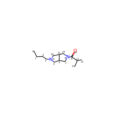 CCCCN1CC2CN(C(=O)C(C)C)CC2C1